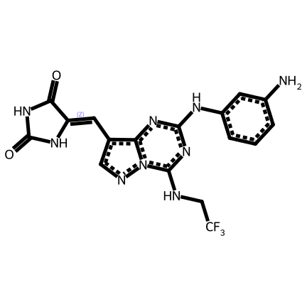 Nc1cccc(Nc2nc(NCC(F)(F)F)n3ncc(/C=C4\NC(=O)NC4=O)c3n2)c1